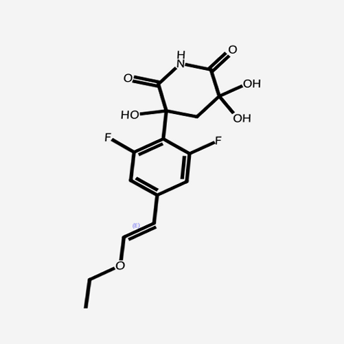 CCO/C=C/c1cc(F)c(C2(O)CC(O)(O)C(=O)NC2=O)c(F)c1